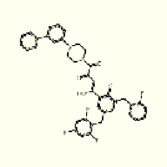 O=C(C=C(O)c1cc(Cc2c(F)cc(F)cc2F)cn(Cc2ccccc2F)c1=O)C(=O)N1CCN(c2cccc(-c3ccccc3)c2)CC1